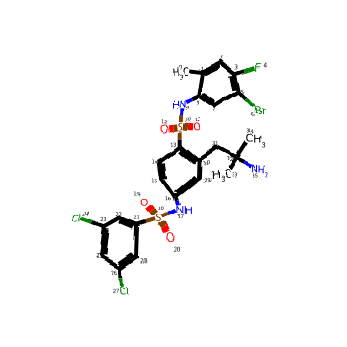 Cc1cc(F)c(Br)cc1NS(=O)(=O)c1ccc(NS(=O)(=O)c2cc(Cl)cc(Cl)c2)cc1CC(C)(C)N